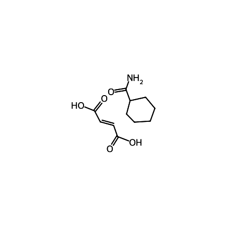 NC(=O)C1CCCCC1.O=C(O)C=CC(=O)O